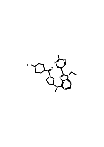 CCn1c(-c2cnc(C)nc2)nc2c(N(C)[C@H]3CCN(C(=O)C4CCC(O)CC4)C3)ncnc21